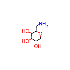 NCC1OCC(O)C(O)[C@H]1O